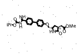 COC(=O)C[C@@H]1C[C@@H](COc2ccc(-c3ccc(C(=N)NC(=O)OC(C)C)cc3)cc2)NC1=O